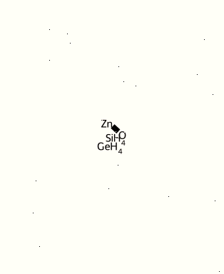 [GeH4].[O]=[Zn].[SiH4]